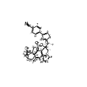 C[C@@H](c1nc(-c2ccc(C#N)cc2)cs1)[C@@](Cn1cncn1)(OS(=O)(=O)CC12CCC(CC1=O)C2(C)C)c1ccc(F)cc1F